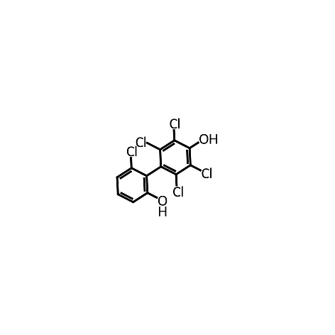 Oc1cccc(Cl)c1-c1c(Cl)c(Cl)c(O)c(Cl)c1Cl